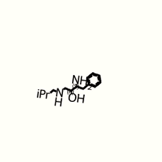 CC(C)CNC[C@@H](O)[C@@H](N)Cc1ccccc1